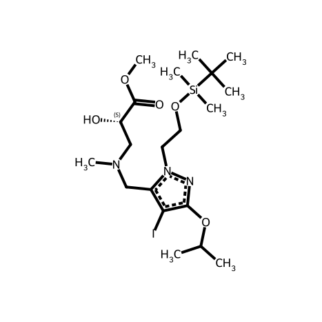 COC(=O)[C@@H](O)CN(C)Cc1c(I)c(OC(C)C)nn1CCO[Si](C)(C)C(C)(C)C